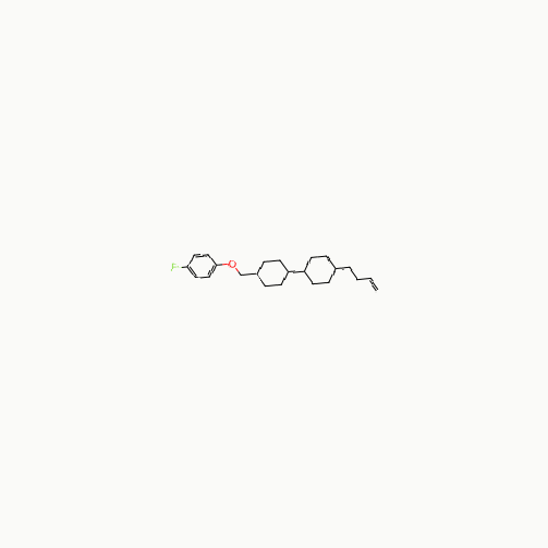 C=CCCC1CCC(C2CCC(COc3ccc(F)cc3)CC2)CC1